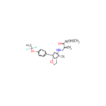 C=C(CNc1cc(-c2ccc(OC(C)(F)F)cc2)c2c(c1C#N)CCO2)C(=O)N(C)O